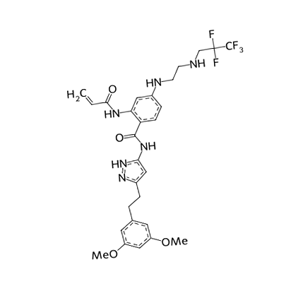 C=CC(=O)Nc1cc(NCCNCC(F)(F)C(F)(F)F)ccc1C(=O)Nc1cc(CCc2cc(OC)cc(OC)c2)n[nH]1